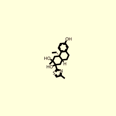 CC[C@@]12CC(C)(O)C(O)(c3nc(C)cs3)C[C@H]1CCc1cc(O)ccc12